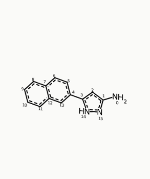 Nc1cc(-c2ccc3ccccc3c2)[nH]n1